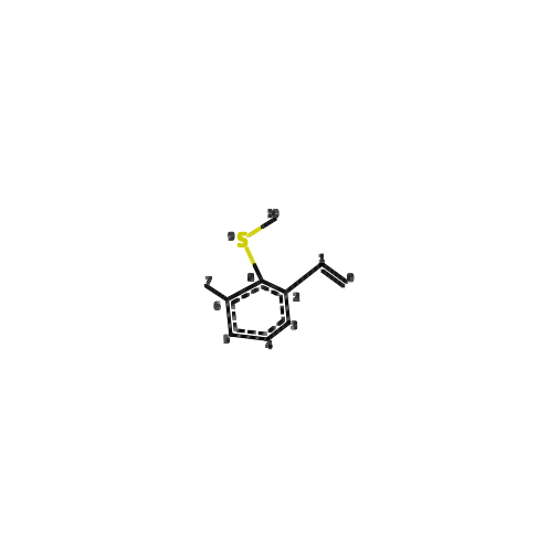 C=Cc1cccc(C)c1SC